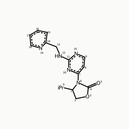 CC(C)C1COC(=O)N1c1ccnc(NCc2ccccn2)n1